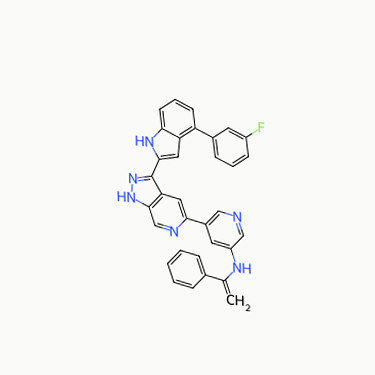 C=C(Nc1cncc(-c2cc3c(-c4cc5c(-c6cccc(F)c6)cccc5[nH]4)n[nH]c3cn2)c1)c1ccccc1